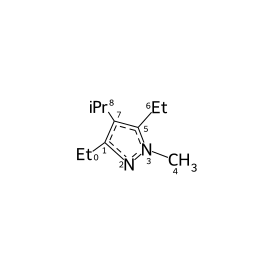 CCc1nn(C)c(CC)c1C(C)C